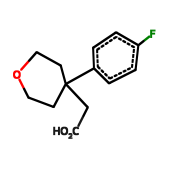 O=C(O)CC1(c2ccc(F)cc2)CCOCC1